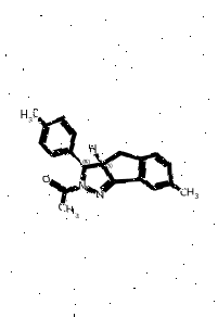 CC(=O)N1N=C2c3cc(C)ccc3C[C@H]2[C@@H]1c1ccc(C)cc1